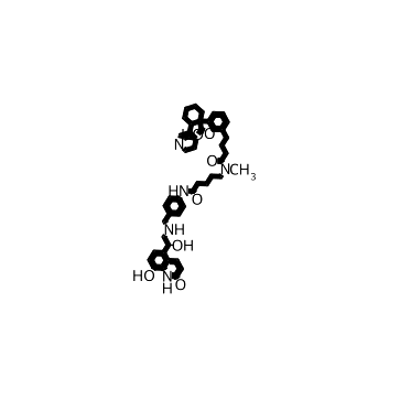 CN(CCCCC(=O)Nc1ccc(CNC[C@H](O)c2ccc(O)c3[nH]c(=O)ccc23)cc1)C(=O)CCCc1cccc(C2(C(=O)O)CCCCC2C2CN3CCC2CC3)c1